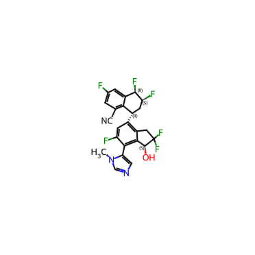 Cn1cncc1-c1c(F)cc([C@H]2C[C@H](F)[C@H](F)c3cc(F)cc(C#N)c32)c2c1[C@H](O)C(F)(F)C2